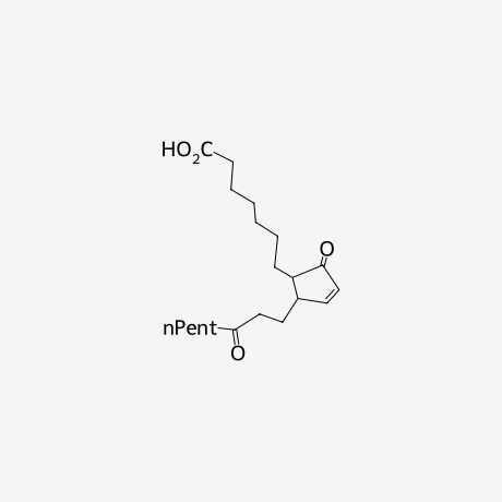 CCCCCC(=O)CCC1C=CC(=O)C1CCCCCCC(=O)O